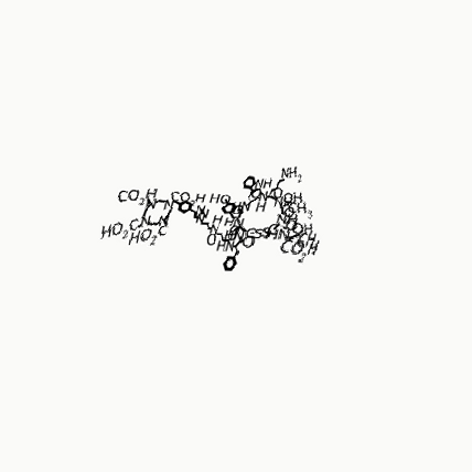 CC(O)[C@H](NC(=O)[C@@H]1CSSC[C@H](NC(=O)[C@@H](Cc2ccccc2)NC(=O)CCC(=O)NCCCn2cc(-c3ccc(C(C(=O)O)N4CCN(CC(=O)O)CCN(CC(=O)O)CCN(CC(=O)O)CC4)cc3)nn2)C(=O)N[C@@H](Cc2ccc(O)cc2)C(=O)N[C@H](Cc2c[nH]c3ccccc23)C(=O)N[C@@H](CCCCN)C(=O)N[C@@H](C(C)O)C(=O)N1)C(=O)O